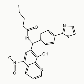 CCCCC(=O)NC(c1ccc(-c2nccs2)cc1)c1cc([N+](=O)[O-])c2cccnc2c1O